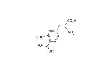 NC(Cc1ccc(B(O)O)c(C=O)c1)C(=O)O